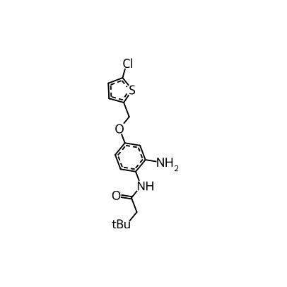 CC(C)(C)CC(=O)Nc1ccc(OCc2ccc(Cl)s2)cc1N